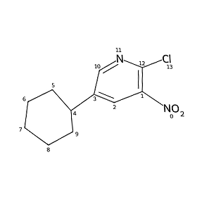 O=[N+]([O-])c1cc(C2CCCCC2)cnc1Cl